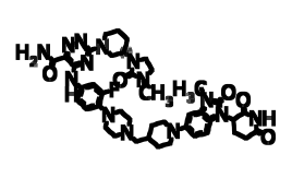 CN1CCN([C@@H]2CCCN(c3nnc(C(N)=O)c(Nc4ccc(N5CCN(CC6CCN(c7ccc8c(c7)n(C)c(=O)n8C7CCC(=O)NC7=O)CC6)CC5)c(F)c4)n3)C2)C1=O